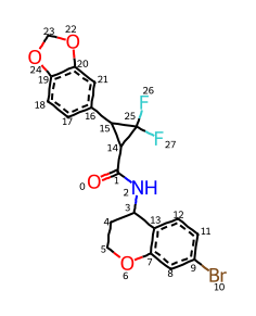 O=C(NC1CCOc2cc(Br)ccc21)C1C(c2ccc3c(c2)OCO3)C1(F)F